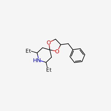 CCC1CC2(CC(CC)N1)OCC(Cc1ccccc1)O2